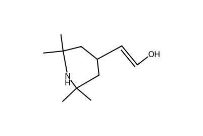 CC1(C)CC(C=CO)CC(C)(C)N1